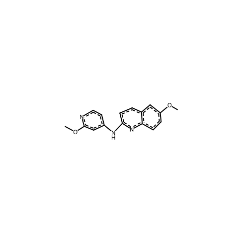 COc1ccc2nc(Nc3ccnc(OC)c3)ccc2c1